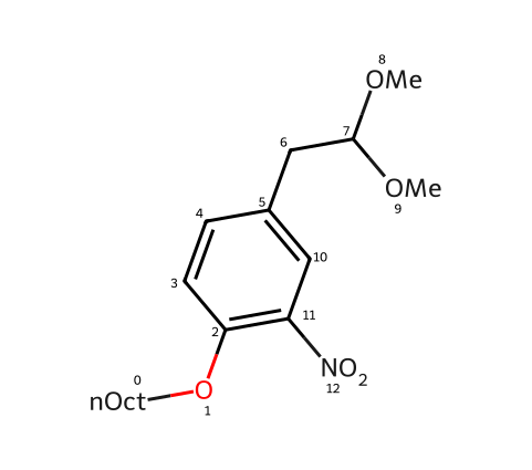 CCCCCCCCOc1ccc(CC(OC)OC)cc1[N+](=O)[O-]